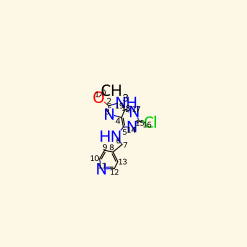 COc1nc2c(NCc3ccncc3)nc(Cl)nc2[nH]1